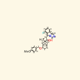 COc1ccc(COC2CCC3CC2CC(C)(C(O)CC2c4c(F)cccc4-c4cncn42)C3)cc1